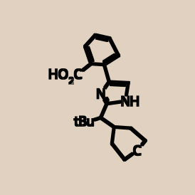 CC(C)(C)C(c1nc(-c2ccccc2C(=O)O)c[nH]1)C1CCCCC1